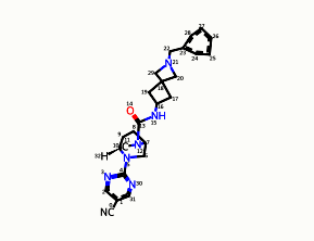 N#Cc1cnc(N2CC3CC[C@@H]2CN3C(=O)NC2CC3(C2)CN(Cc2ccccc2)C3)nc1